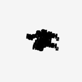 [N-]=[N+]=Nc1ccc(COC(=O)N[C@@H](Cc2cccnc2)C(=O)O[C@H]2[C@@H](O)[C@H](n3cnc4c(N)ncnc43)O[C@@H]2COP(=O)(O)[C@H]2[C@@H](O)[C@H](n3ccc(N)nc3=O)O[C@@H]2COP(=O)(O)O)cc1